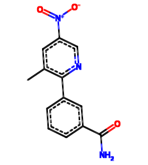 Cc1cc([N+](=O)[O-])cnc1-c1cccc(C(N)=O)c1